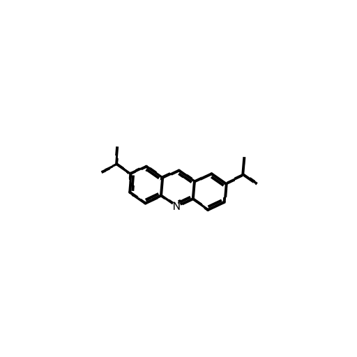 CC(C)c1ccc2nc3ccc(C(C)C)cc3cc2c1